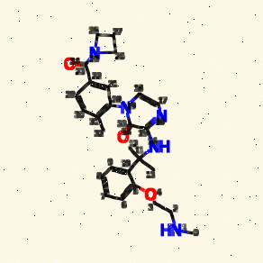 CNCCOc1ccccc1C(C)(C)Nc1nccn(-c2cc(C(=O)N3CCC3)ccc2C)c1=O